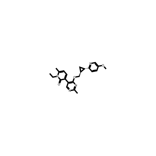 CCn1c(C)ccc(-c2cnc(C)nc2OC[C@H]2C[C@@H]2c2ccc(OC)cn2)c1=O